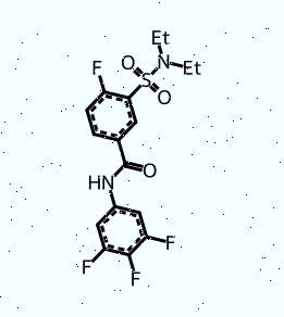 CCN(CC)S(=O)(=O)c1cc(C(=O)Nc2cc(F)c(F)c(F)c2)ccc1F